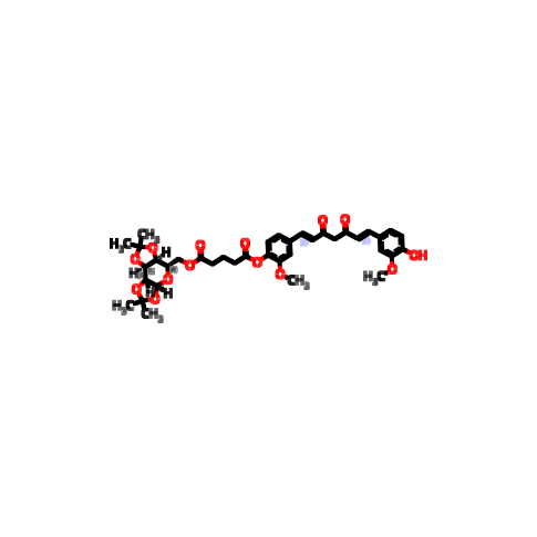 COc1cc(/C=C/C(=O)CC(=O)/C=C/c2ccc(OC(=O)CCCC(=O)OC[C@H]3O[C@@H]4OC(C)(C)O[C@@H]4[C@H]4OC(C)(C)O[C@H]43)c(OC)c2)ccc1O